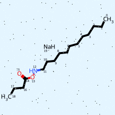 CCCCCCCCCCCCNOC(=O)CCC.[NaH]